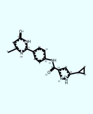 Cc1cc(=O)[nH]c(-c2ccc(NC(=O)c3cc(C4CC4)[nH]n3)cc2)n1